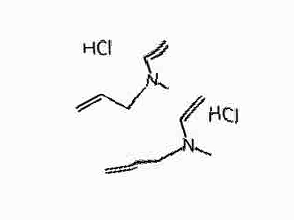 C=CCN(C)C=C.C=CCN(C)C=C.Cl.Cl